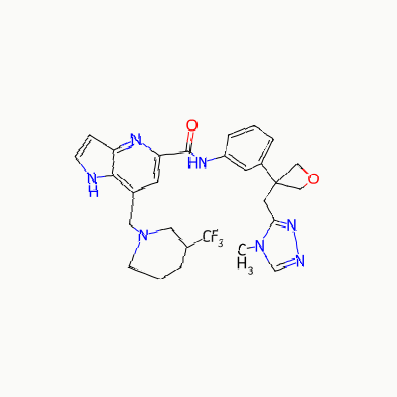 Cn1cnnc1CC1(c2cccc(NC(=O)c3cc(CN4CCCC(C(F)(F)F)C4)c4[nH]ccc4n3)c2)COC1